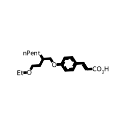 CCCCCC(CCOCC)COc1ccc(C=CC(=O)O)cc1